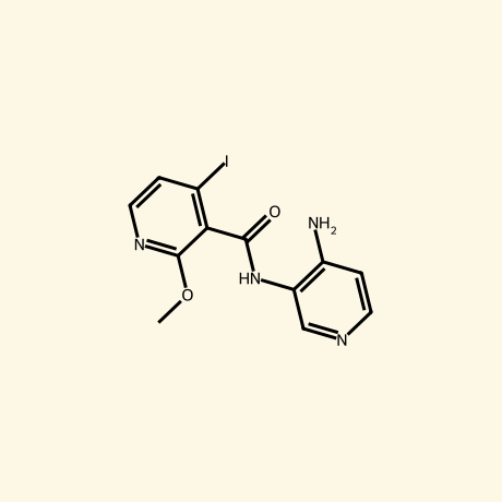 COc1nccc(I)c1C(=O)Nc1cnccc1N